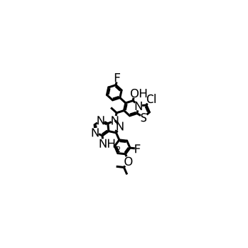 CC(C)Oc1ccc(-c2nn(C(C)C3=C(c4cccc(F)c4)C(O)N4C(Cl)=CSC4=C3)c3ncnc(N)c23)cc1F